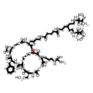 C/C(=N/O)C(C)(C)NCCC(CCNC(=O)CCCC(=O)NCCCC[C@@H]1NC(=O)CSC[C@@H](C(N)=O)NC(=O)[C@H](Cc2ccccc2)NC(=O)[C@@H]2CSSC[C@H](NC1=O)C(=O)N[C@@H](CCCNC(=N)N)C(=O)NCC(=O)N[C@@H](CC(=O)O)C(=O)N2)CCNC(C)(C)/C(C)=N\O